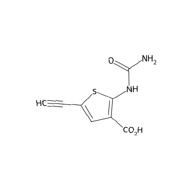 C#Cc1cc(C(=O)O)c(NC(N)=O)s1